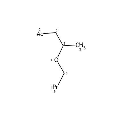 CC(=O)CC(C)OCC(C)C